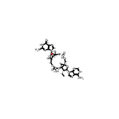 CC[C@H]1[C@H](n2cnc3c(N)ncnc32)O[C@]23CO[PH](=O)O[C@@H]4[C@H](F)[C@@H](COP(=O)(S)O[C@@]12C3)O[C@H]4n1cnc2c(=O)[nH]c(N)nc21